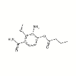 CCCC(=O)Oc1ccc(C(N)=O)c(OC)c1N